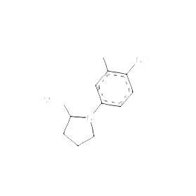 COC1CCCN1c1ccc(N)c(F)c1